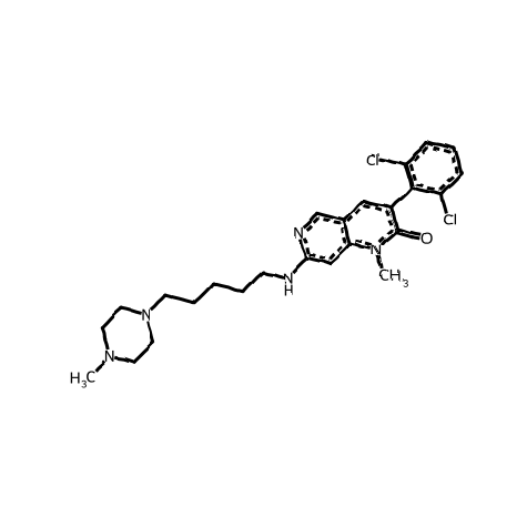 CN1CCN(CCCCCNc2cc3c(cn2)cc(-c2c(Cl)cccc2Cl)c(=O)n3C)CC1